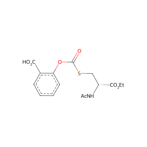 CCOC(=O)[C@@H](CSC(=O)Oc1ccccc1C(=O)O)NC(C)=O